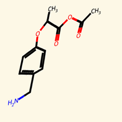 CC(=O)OC(=O)C(C)Oc1ccc(CN)cc1